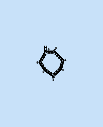 c1csccs[nH]1